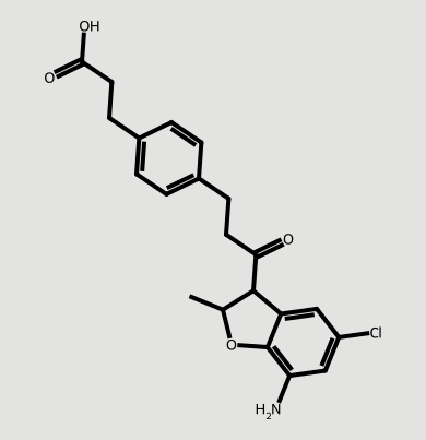 CC1Oc2c(N)cc(Cl)cc2C1C(=O)CCc1ccc(CCC(=O)O)cc1